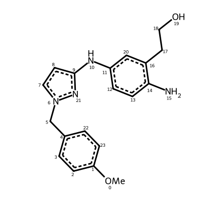 COc1ccc(Cn2ccc(Nc3ccc(N)c(CCO)c3)n2)cc1